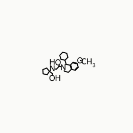 COc1ccc2c(c1)C(C1CCCCC1)N(C(=O)CNC1(CO)CCCC1)CC2